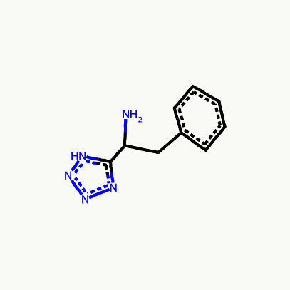 NC(Cc1ccccc1)c1nnn[nH]1